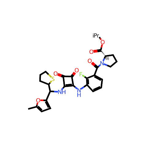 Cc1ccc(C(Nc2c(Nc3cccc(C(=O)N4CCC[C@H]4C(=O)OC(C)C)c3F)c(=O)c2=O)C2CCCS2)o1